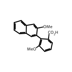 COc1cc2ccccc2cc1-c1c(OC)cccc1C(=O)O